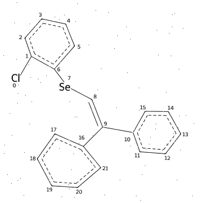 Clc1ccccc1[Se]C=C(c1ccccc1)c1ccccc1